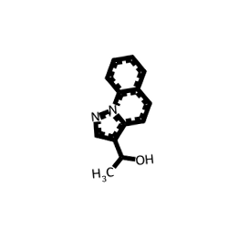 CC(O)c1cnn2c1ccc1ccccc12